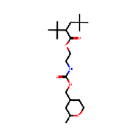 CC1CC(COC(=O)NCCOC(=O)C(CC(C)(C)C)C(C)(C)C)CCO1